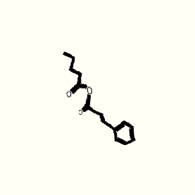 CCC[CH]C(=O)OC(=O)CCc1ccccc1